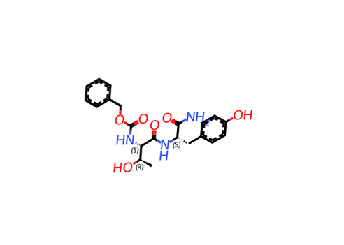 C[C@@H](O)[C@H](NC(=O)OCc1ccccc1)C(=O)N[C@@H](Cc1ccc(O)cc1)C(N)=O